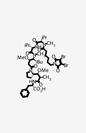 CC[C@H](C)[C@@H]([C@@H](CC(=O)N1CCC[C@H]1[C@H](OC)[C@@H](C)C(=O)N[C@@H](Cc1ccccc1)C(=O)O)OC)N(C)C(=O)[C@@H](NC(=O)[C@H](C(C)C)N(C)C(=O)CCCCCN1C(=O)C(Br)=C(Br)C1=O)C(C)C